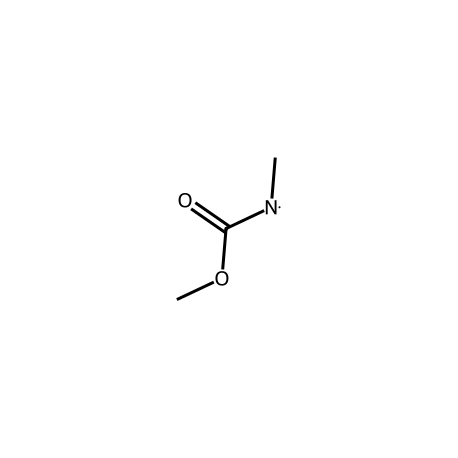 C[N]C(=O)OC